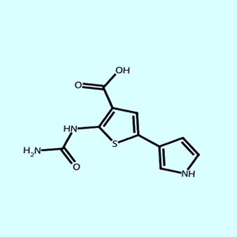 NC(=O)Nc1sc(-c2cc[nH]c2)cc1C(=O)O